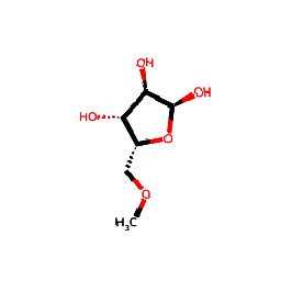 COC[C@H]1O[C@H](O)[C@H](O)[C@H]1O